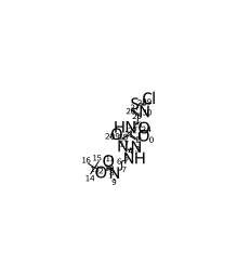 COc1nc(NCCN(C)C(=O)OC(C)(C)C)nc(OC)c1NC(=O)c1csc(Cl)n1